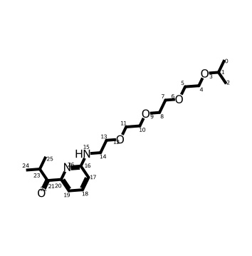 CC(C)OCCOCCOCCOCCNc1cccc(C(=O)C(C)C)n1